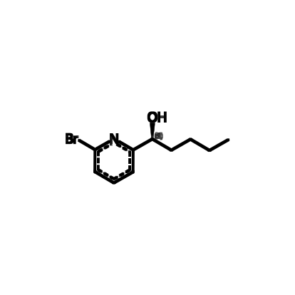 CCCC[C@H](O)c1cccc(Br)n1